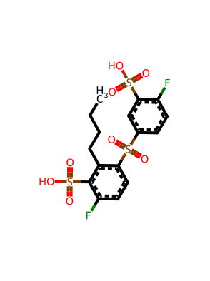 CCCCc1c(S(=O)(=O)c2ccc(F)c(S(=O)(=O)O)c2)ccc(F)c1S(=O)(=O)O